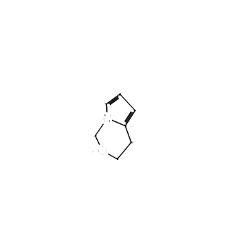 c1cc2n(c1)COCC2